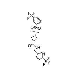 CC(C)(C1CC(C(=O)NCc2ccc(C(F)(F)F)nc2)C1)S(=O)(=O)c1cccc(C(F)(F)F)c1